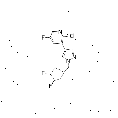 Fc1cnc(Cl)c(-c2cnn(CC3C[C@@H](F)[C@H](F)C3)c2)c1